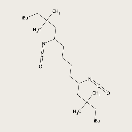 CCC(C)CC(C)(C)CC(CCCCC(CC(C)(C)CC(C)CC)N=C=O)N=C=O